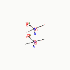 CCCCCCCCCCON(C(=O)CCCN(C)C)C(CCCCCCCCC)CCCCCCC(F)C(=O)O.CCCCCCCCCCON(C(=O)CCCN(C)C)C(CCCCCCCCC)CCCCCCC(F)C(=O)OCC